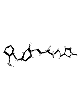 COc1ccccc1Sc1ccc(C=CC(=O)NCCC2CCN(C)C2)c(Cl)c1